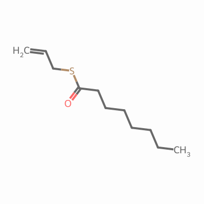 C=CCSC(=O)CCCCCCC